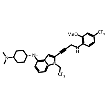 COc1cc(C(F)(F)F)ccc1NCC#Cc1cc2c(N[C@H]3CC[C@H](N(C)C)CC3)cccc2n1CC(F)(F)F